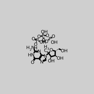 C[C@@]1(n2cnc3c(=O)[nH]c(N)nc32)O[C@H](CO)[C@@H](O)[C@H]1O.O=P(O)(O)OP(=O)(O)OP(=O)(O)O